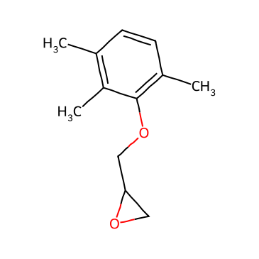 Cc1ccc(C)c(OCC2CO2)c1C